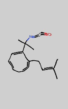 CC(C)=CCc1ccccc1C(C)(C)N=C=O